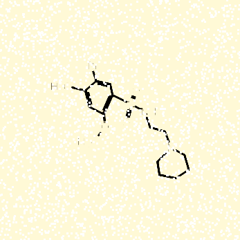 COc1cc(C)c(Br)cc1S(=O)(=O)NCCN1CCCCC1